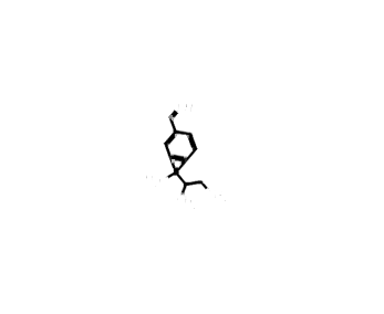 C=Cc1ccc2c(c1)C2(C)[C](C)CC